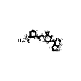 CS(=O)(=O)c1cccc(C(=O)CN2CCN(c3ncnc4[nH]ccc34)CC23CC3)c1